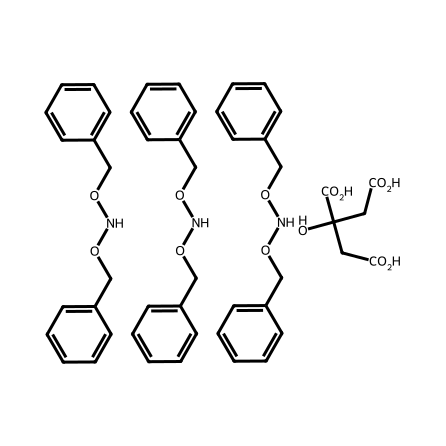 O=C(O)CC(O)(CC(=O)O)C(=O)O.c1ccc(CONOCc2ccccc2)cc1.c1ccc(CONOCc2ccccc2)cc1.c1ccc(CONOCc2ccccc2)cc1